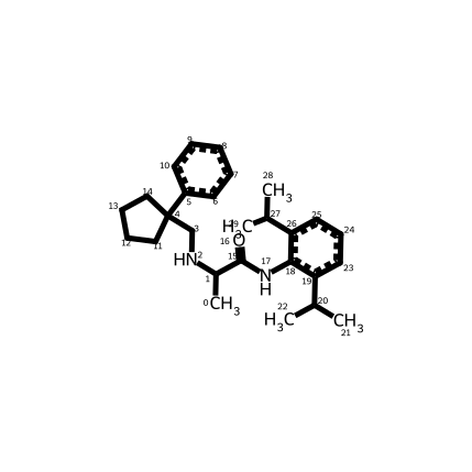 CC(NCC1(c2ccccc2)CCCC1)C(=O)Nc1c(C(C)C)cccc1C(C)C